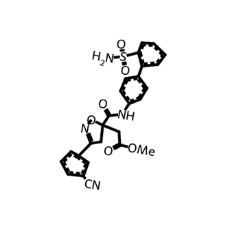 COC(=O)CC1(C(=O)Nc2ccc(-c3ccccc3S(N)(=O)=O)cc2)CC(c2cccc(C#N)c2)=NO1